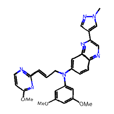 COc1cc(OC)cc(N(C/C=C/c2nccc(OC)n2)c2ccc3ncc(-c4cnn(C)c4)nc3c2)c1